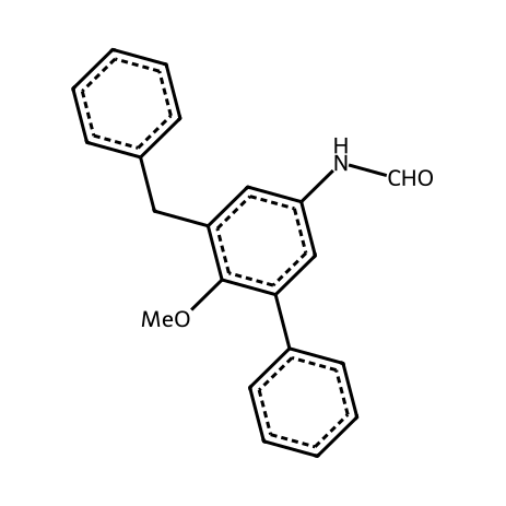 COc1c(Cc2ccccc2)cc(NC=O)cc1-c1ccccc1